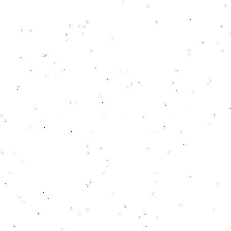 C[C@@H](CSSC[C@H](C)C(=O)Cl)C(=O)Cl